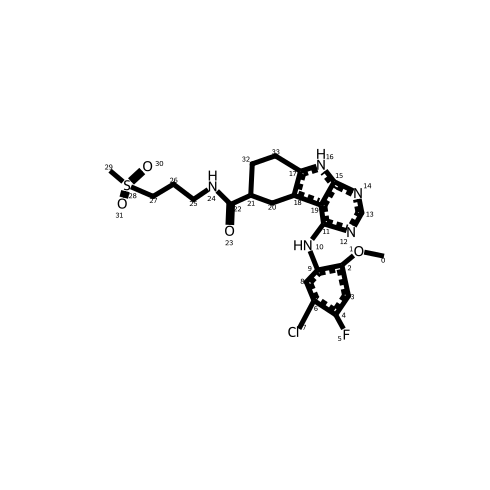 COc1cc(F)c(Cl)cc1Nc1ncnc2[nH]c3c(c12)CC(C(=O)NCCCS(C)(=O)=O)CC3